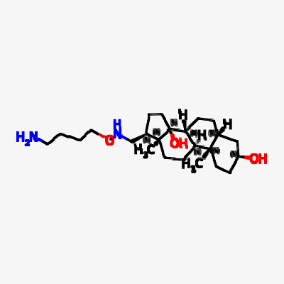 C[C@]12CC[C@H](O)C[C@H]1CC[C@@H]1[C@@H]2CC[C@]2(C)[C@@H](CNOCCCCN)CC[C@]12O